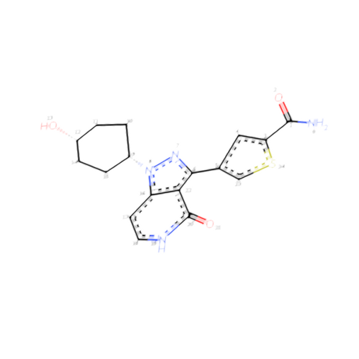 NC(=O)c1cc(-c2nn([C@H]3CC[C@@H](O)CC3)c3cc[nH]c(=O)c23)cs1